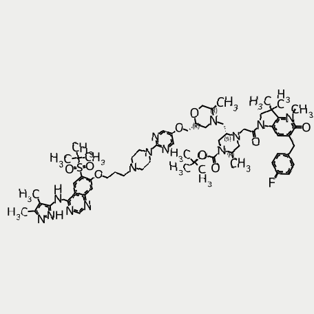 Cc1n[nH]c(Nc2ncnc3cc(OCCCN4CCN(c5ncc(OC[C@H]6CN(C[C@H]7CN(C(=O)OC(C)(C)C)[C@H](C)CN7CC(=O)N7CC(C)(C)c8c7cc(Cc7ccc(F)cc7)c(=O)n8C)[C@H](C)CO6)cn5)CC4)c(S(=O)(=O)C(C)(C)C)cc23)c1C